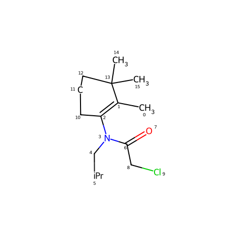 CC1=C(N(CC(C)C)C(=O)CCl)CCCC1(C)C